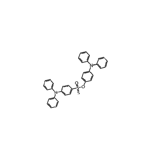 O=S(=S)(Oc1ccc(N(c2ccccc2)c2ccccc2)cc1)c1ccc(N(c2ccccc2)c2ccccc2)cc1